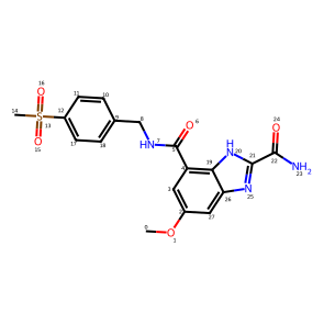 COc1cc(C(=O)NCc2ccc(S(C)(=O)=O)cc2)c2[nH]c(C(N)=O)nc2c1